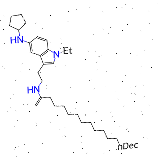 C=C(CCCCCCCCCCCCCCCCCCCCC)NCCc1cn(CC)c2ccc(NC3CCCC3)cc12